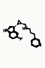 Fc1ccc2[nH]cc([C@@H]3C[C@H]3CNCCCc3cccnc3)c2c1